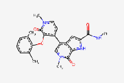 Cc1cccc(C)c1Oc1c(-c2cn(C)c(=O)c3[nH]c(C(=O)NC(C)C)cc23)ccn(C)c1=O